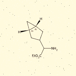 CCOC(=O)C(N)C1C[C@@H]2C[C@@H]2C1